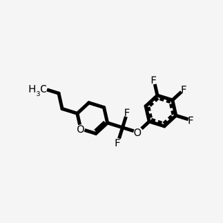 CCCC1CCC(C(F)(F)Oc2cc(F)c(F)c(F)c2)=CO1